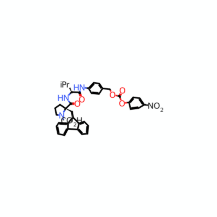 CC(C)[C@H](NC(=O)[C@@]1(CC2c3ccccc3-c3ccccc32)CCCN1C(=O)O)C(=O)Nc1ccc(COC(=O)Oc2ccc([N+](=O)[O-])cc2)cc1